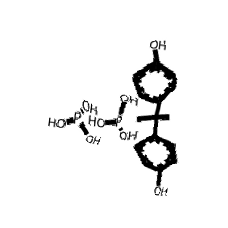 CC(C)(c1ccc(O)cc1)c1ccc(O)cc1.OP(O)O.OP(O)O